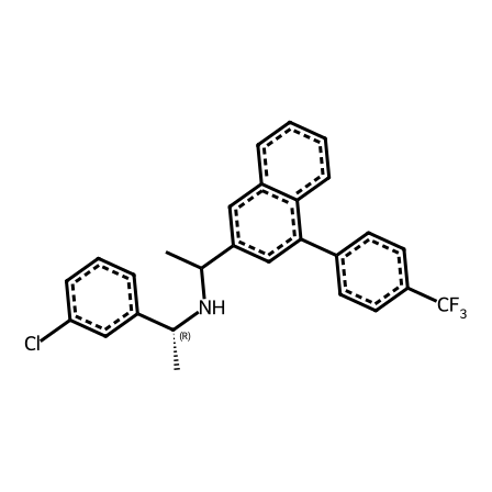 CC(N[C@H](C)c1cccc(Cl)c1)c1cc(-c2ccc(C(F)(F)F)cc2)c2ccccc2c1